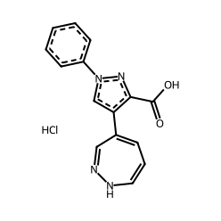 Cl.O=C(O)c1nn(-c2ccccc2)cc1C1=CC=CNN=C1